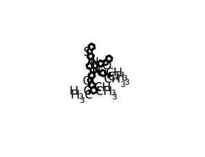 CC(C)(C)c1ccc(N2B3c4cc5oc6ccccc6c5cc4-n4c5cc6c(cc5c5ccc(c3c54)-c3cc4oc5cc7c(cc5c4cc32)C(C)(C)CCC7(C)C)sc2ccccc26)cc1